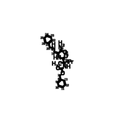 CC(C)[C@](C)(NC(=O)OCc1ccccc1)C(=O)NC(=CNCc1ccccc1)C(N)=O